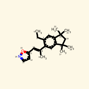 CCc1cc2c(cc1C(C)=Cc1ccno1)C(C)(C)CC2(C)C